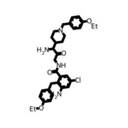 CCOc1ccc(Cc2c(N)cc(Cl)cc2C(=O)NCC(=O)C(N)C2CCN(Cc3ccc(OCC)cc3)CC2)cc1